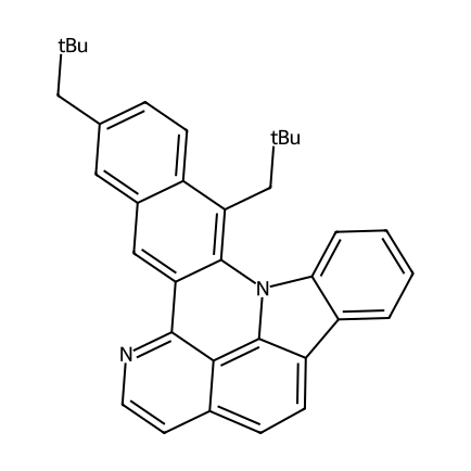 CC(C)(C)Cc1ccc2c(CC(C)(C)C)c3c(cc2c1)c1nccc2ccc4c5ccccc5n3c4c21